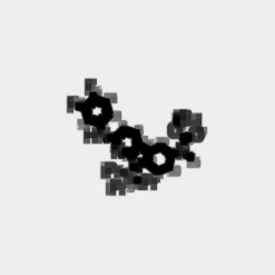 CC(C)[Si](C(C)C)(C(C)C)n1c2c(c3ccc(Nc4ccc(F)c(F)c4)nc31)CC(N(C)C(=O)OC(C)(C)C)CC2